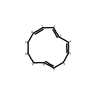 [C]1=C/C=C/C=C\C/C=C/CCC\1